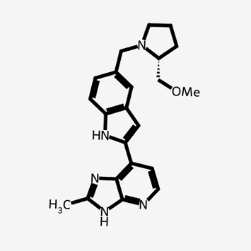 COC[C@H]1CCCN1Cc1ccc2[nH]c(-c3ccnc4[nH]c(C)nc34)cc2c1